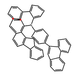 c1ccc(-c2ccccc2N(c2ccc(-c3cc4ccccc4c4ccccc34)cc2)c2cccc3ccc4c5ccccc5oc4c23)cc1